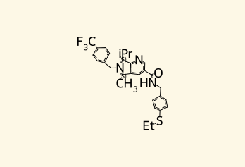 CCSc1ccc(CNC(=O)c2cnc3c(c2)[C@H](C)N(Cc2ccc(C(F)(F)F)cc2)[C@H]3C(C)C)cc1